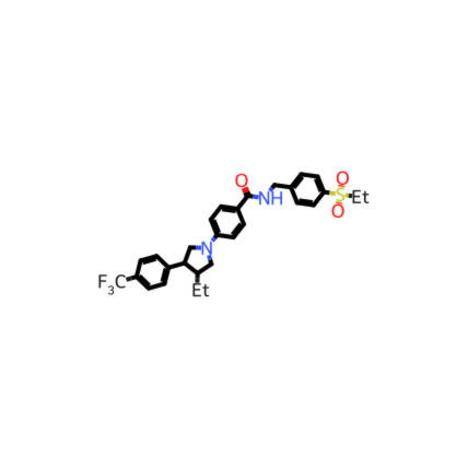 CCC1CN(c2ccc(C(=O)NCc3ccc(S(=O)(=O)CC)cc3)cc2)CC1c1ccc(C(F)(F)F)cc1